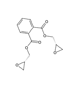 O=C(OC[C@@H]1CO1)c1ccccc1C(=O)OC[C@@H]1CO1